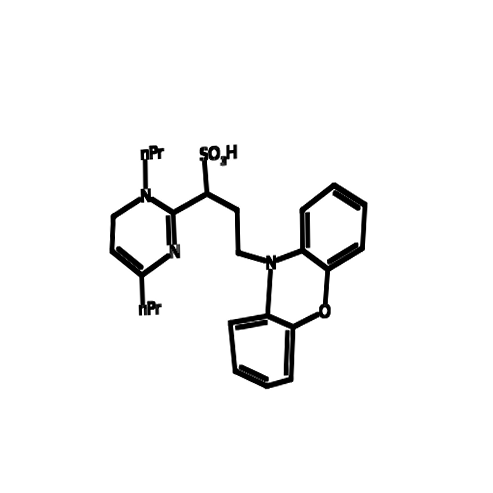 CCCC1=CCN(CCC)C(C(CCN2c3ccccc3Oc3ccccc32)S(=O)(=O)O)=N1